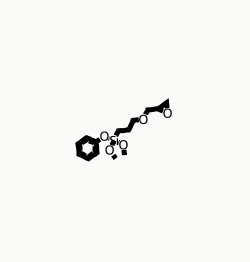 CO[Si](CCCOCC1CO1)(OC)Oc1ccccc1